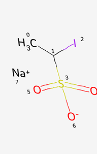 CC(I)S(=O)(=O)[O-].[Na+]